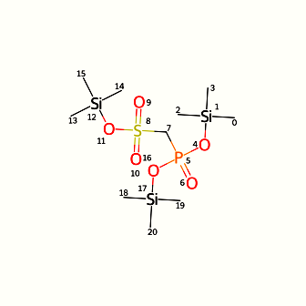 C[Si](C)(C)OP(=O)(CS(=O)(=O)O[Si](C)(C)C)O[Si](C)(C)C